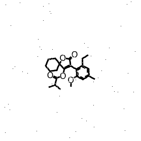 CCc1cc(C)cc(OC)c1C1=C(OC(=O)C(C)C)C2(CCCCC2)OC1=O